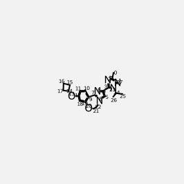 Cc1nc(-c2cn3c(n2)-c2ccc(OC4CCC4)cc2OCC3)n(C(C)C)n1